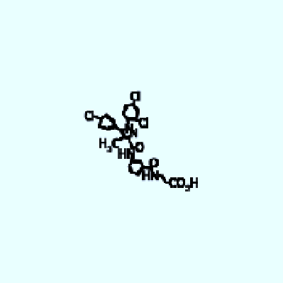 Cc1c(C(=O)Nc2cccc(C(=O)NCCC(=O)O)c2)nn(-c2ccc(Cl)cc2Cl)c1-c1ccc(Cl)cc1